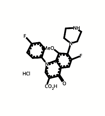 COc1c(N2CCNCC2)c(F)cc2c(=O)c(C(=O)O)cn(-c3ccc(F)cc3)c12.Cl